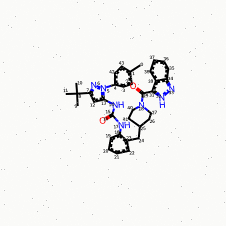 Cc1ccc(-n2nc(C(C)(C)C)cc2NC(=O)Nc2ccccc2CC2CCN(C(=O)c3[nH]nc4ccccc34)CC2)cc1